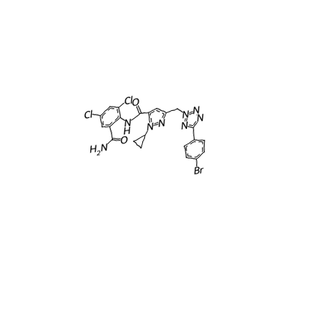 NC(=O)c1cc(Cl)cc(Cl)c1NC(=O)c1cc(Cn2nnc(-c3ccc(Br)cc3)n2)nn1C1CC1